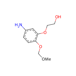 COCOc1ccc(N)cc1OCCO